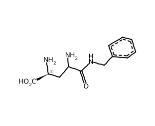 NC(C[C@H](N)C(=O)O)C(=O)NCc1ccccc1